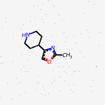 Cc1nc(C2CCNCC2)co1